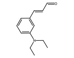 CCN(CC)c1cccc(/C=C/C=O)c1